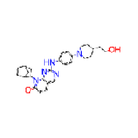 O=c1ccc2cnc(Nc3ccc(N4CCC(CCO)CC4)cc3)nc2n1C1CC2CCC1C2